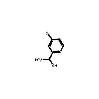 O=S(=O)(O)C(O)c1cc(Cl)ccn1